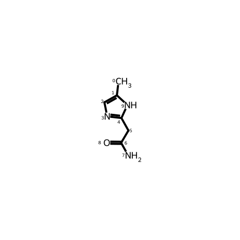 Cc1cnc(CC(N)=O)[nH]1